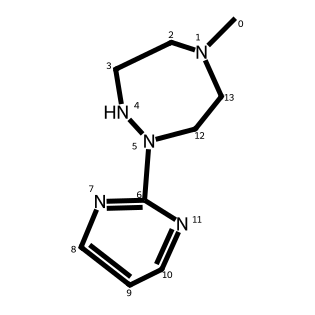 CN1CCNN(c2ncccn2)CC1